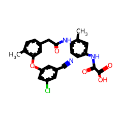 Cc1cc(NC(=O)C(=O)O)ccc1NC(=O)Cc1ccc(C)c(Oc2cc(Cl)cc(C#N)c2)c1